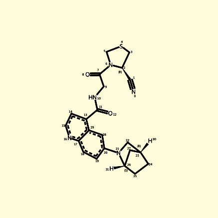 N#C[C@@H]1CSCN1C(=O)CNC(=O)c1ccnc2ccc(N3C[C@@H]4CC[C@H]3C4)cc12